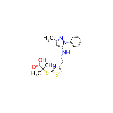 Cc1cc(NCCc2csc(SC(C)(C)C(=O)O)n2)n(-c2ccccc2)n1